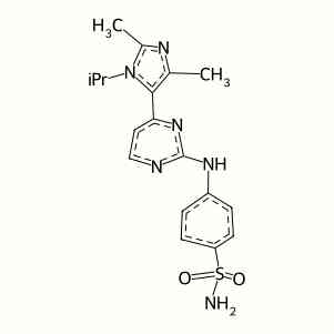 Cc1nc(C)n(C(C)C)c1-c1ccnc(Nc2ccc(S(N)(=O)=O)cc2)n1